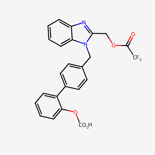 O=C(O)Oc1ccccc1-c1ccc(Cn2c(COC(=O)C(F)(F)F)nc3ccccc32)cc1